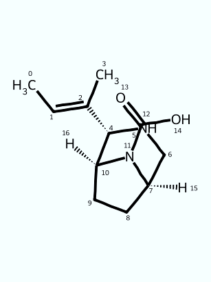 CC=C(C)[C@@H]1NC[C@H]2CC[C@@H]1N2C(=O)O